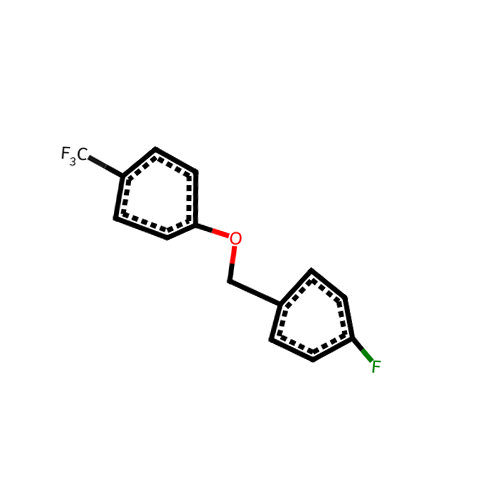 Fc1ccc(COc2ccc(C(F)(F)F)cc2)cc1